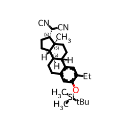 [C-]#[N+]C(C#N)[C@H]1CC[C@H]2[C@@H]3CCc4cc(O[Si](C)(C)C(C)(C)C)c(CC)cc4[C@H]3CC[C@]12C